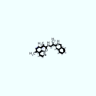 C=C(/C=C\C=C(/C)C(=O)NC[C@@H](C)[C@@H]1CC2C=CC#CC2CN1)c1ccnnc1